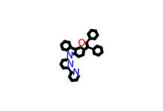 c1ccc(-c2oc3c(ccc4c3c3ccccc3n4-c3cccc(-c4ccccn4)n3)c2-c2ccccc2)cc1